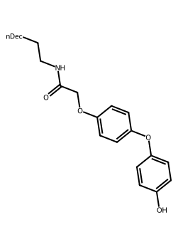 CCCCCCCCCCCCNC(=O)COc1ccc(Oc2ccc(O)cc2)cc1